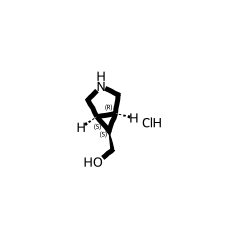 Cl.OC[C@H]1[C@H]2CNC[C@@H]12